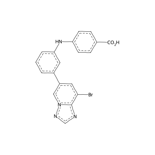 O=C(O)c1ccc(Nc2cccc(-c3cc(Br)c4ncnn4c3)c2)cc1